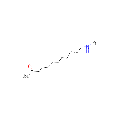 CC(C)NCCCCCCCCCCC(=O)C(C)(C)C